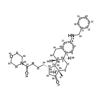 C[C@]12CC[C@@H]3c4ccc(NCc5ccccc5)cc4CC[C@H]3[C@@H]1[C@@H](CCCC(=O)N1CCOCC1)CC2=O